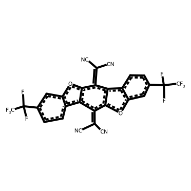 N#CC(C#N)=c1c2oc3cc(C(F)(F)C(F)(F)F)ccc3c2c(=C(C#N)C#N)c2oc3cc(C(F)(F)C(F)(F)F)ccc3c12